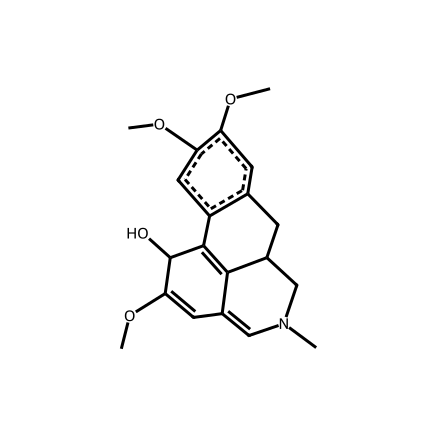 COC1=CC2=CN(C)CC3Cc4cc(OC)c(OC)cc4C(=C23)C1O